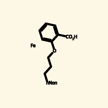 CCCCCCCCCCCCOc1ccccc1C(=O)O.[Fe]